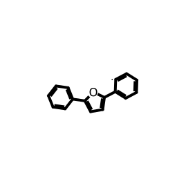 [c]1ccccc1-c1ccc(-c2ccccc2)o1